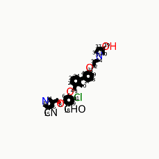 Cc1c(COc2cc(OCc3cncc(C#N)c3)c(C=O)cc2Cl)cccc1-c1cccc(OCCCN2CC[C@@H](O)C2)c1